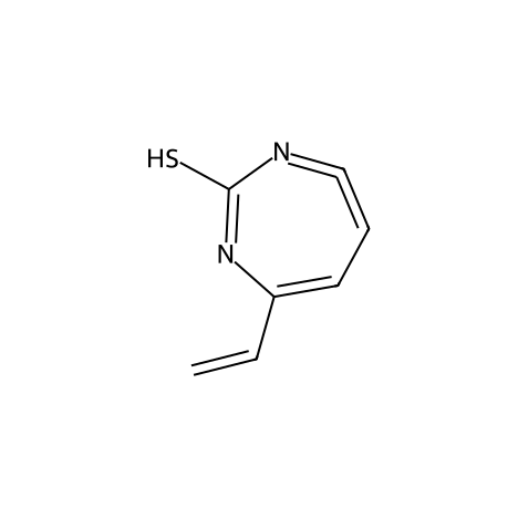 C=CC1=CC=C=NC(S)=N1